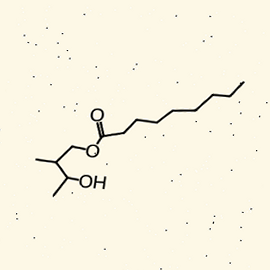 CCCCCCCCC(=O)OCC(C)C(C)O